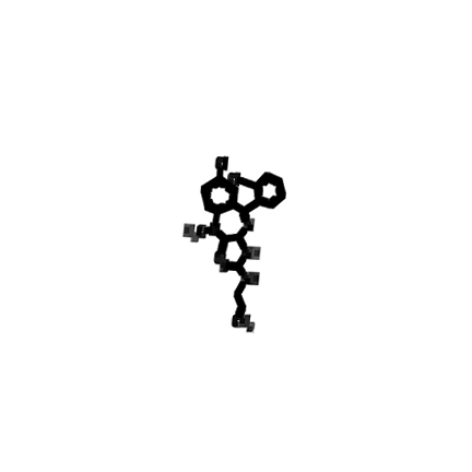 C=CCNC(=S)NC1N=C(c2ccccc2Cl)c2cc(Cl)ccc2N(C)C1=O